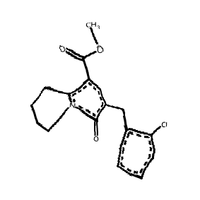 COC(=O)c1cc(Cc2ccccc2Cl)c(=O)n2c1CCCC2